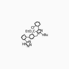 CCCCc1nc(-c2ccccc2Cl)c(C(=O)OCC)n1Cc1ccc(-c2ccccc2-c2nnn[nH]2)cc1